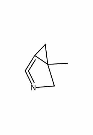 CC12CN=C=C1C2